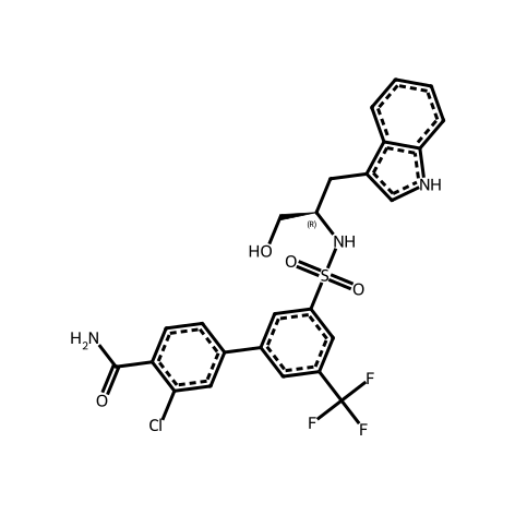 NC(=O)c1ccc(-c2cc(C(F)(F)F)cc(S(=O)(=O)N[C@@H](CO)Cc3c[nH]c4ccccc34)c2)cc1Cl